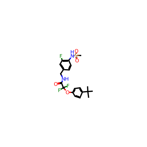 CC(C)(C)c1ccc(OC(F)(F)C(=O)NCc2ccc(NS(C)(=O)=O)c(F)c2)cc1